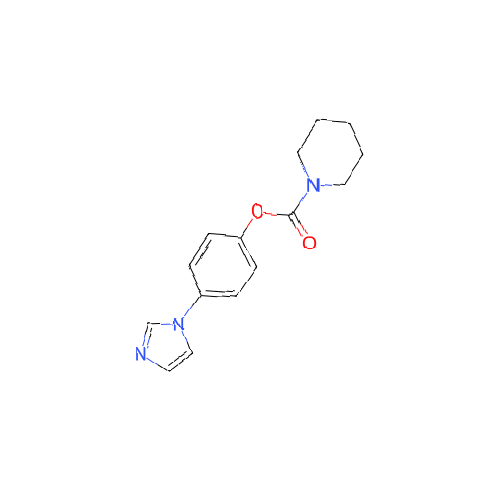 O=C(Oc1ccc(-n2ccnc2)cc1)N1CCCCC1